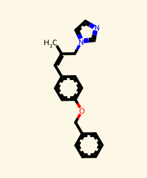 CC(=Cc1ccc(OCc2ccccc2)cc1)Cn1ccnc1